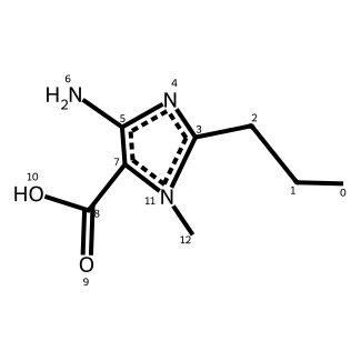 CCCc1nc(N)c(C(=O)O)n1C